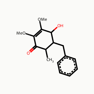 COC1=C(OC)C(O)C(Cc2ccccc2)C(C)C1=O